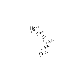 [Cd+2].[Hg+2].[S-2].[S-2].[S-2].[Zn+2]